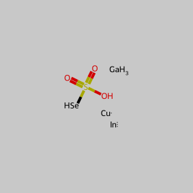 O=S(=O)(O)[SeH].[Cu].[GaH3].[In]